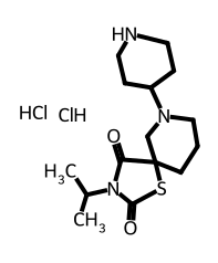 CC(C)N1C(=O)SC2(CCCN(C3CCNCC3)C2)C1=O.Cl.Cl